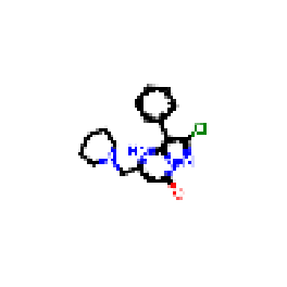 O=c1cc(CN2CCCCC2)[nH]c2c(-c3ccccc3)c(Cl)nn12